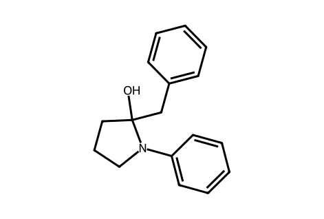 OC1(Cc2ccccc2)CCCN1c1ccccc1